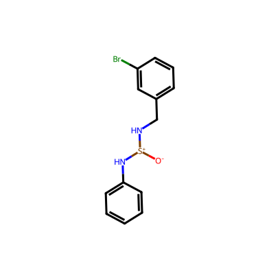 [O-][S+](NCc1cccc(Br)c1)Nc1ccccc1